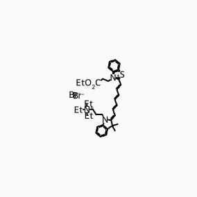 CCOC(=O)CC[n+]1c(/C=C/C=C/C=C/C=C2\N(CCC[N+](CC)(CC)CC)c3ccccc3C2(C)C)sc2ccccc21.[Br-].[Br-]